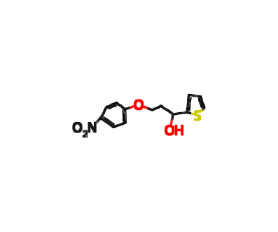 O=[N+]([O-])c1ccc(OCCC(O)c2cccs2)cc1